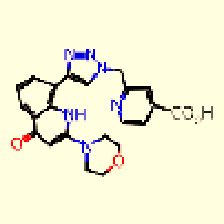 O=C(O)c1ccnc(Cn2cc(-c3cccc4c(=O)cc(N5CCOCC5)[nH]c34)nn2)c1